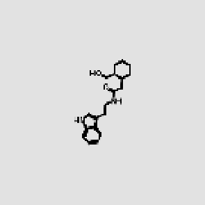 O=C(CC1CCCCC1CO)NCCc1c[nH]c2ccccc12